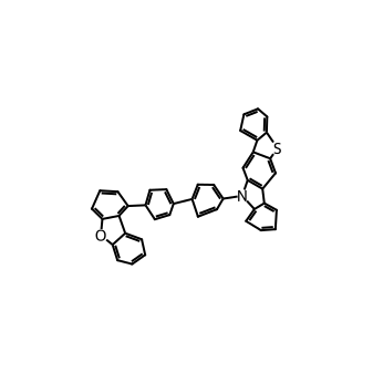 c1ccc2c(c1)oc1cccc(-c3ccc(-c4ccc(-n5c6ccccc6c6cc7sc8ccccc8c7cc65)cc4)cc3)c12